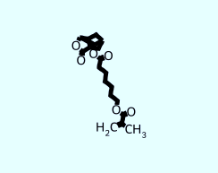 C=C(C)C(=O)OCCCCCCC(=O)OC1C2CC3C(=O)OC1C3C2